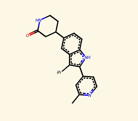 Cc1cc(-c2[nH]c3ccc(C4CCNC(=O)C4)cc3c2C(C)C)ccn1